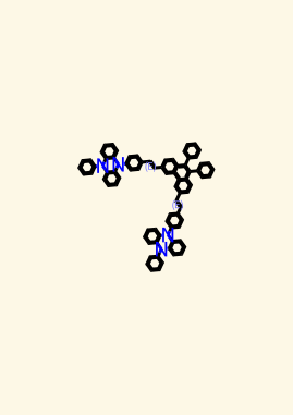 C(=C\c1ccc2c(-c3ccccc3)c(-c3ccccc3)c3ccc(/C=C/c4ccc(N5c6ccccc6N(c6ccccc6)c6ccccc65)cc4)cc3c2c1)/c1ccc(N2c3ccccc3N(c3ccccc3)c3ccccc32)cc1